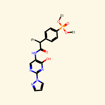 CCOP(=O)(OCC)c1ccc(C(C(=O)Nc2cnc(-n3cccn3)nc2O)C(C)C)cc1